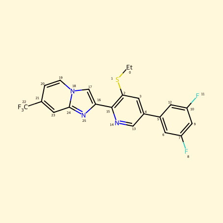 CCSc1cc(-c2cc(F)cc(F)c2)cnc1-c1cn2ccc(C(F)(F)F)cc2n1